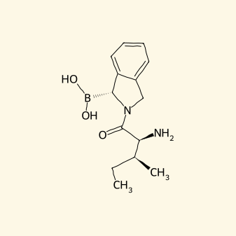 CC[C@H](C)[C@H](N)C(=O)N1Cc2ccccc2[C@H]1B(O)O